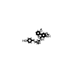 COc1cccc(F)c1-c1cc2nc[nH]c2cc1C(=O)Nc1nnc(SCC2CCC(O)CC2)s1